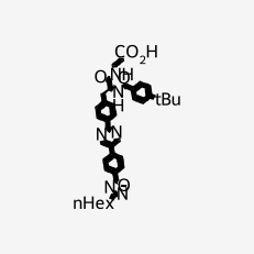 CCCCCCc1noc(-c2ccc(-c3cnc(-c4ccc(C[C@H](NC(=O)c5ccc(C(C)(C)C)cc5)C(=O)NCCC(=O)O)cc4)nc3)cc2)n1